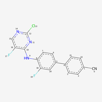 N#Cc1ccc(-c2ccc(Nc3nc(Cl)ncc3F)c(F)c2)cc1